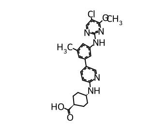 COc1nc(Nc2cc(C)cc(-c3ccc(N[C@H]4CC[C@H](C(=O)O)CC4)nc3)c2)ncc1Cl